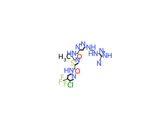 CC(NC(=O)c1cc(NCCNc2nc[nH]c2C#N)ncn1)c1ncc(C(=O)Nc2cc(C(F)(F)F)c(Cl)cn2)s1